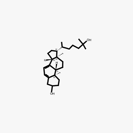 CC(CCCC(C)(C)O)[C@H]1CC[C@H]2C3=CC=C4CC(O)CC[C@]4(C)[C@H]3CC[C@]12C